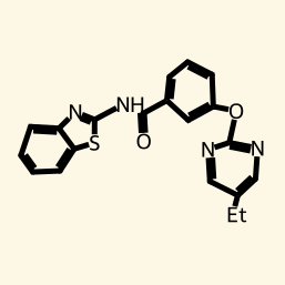 CCc1cnc(Oc2cccc(C(=O)Nc3nc4ccccc4s3)c2)nc1